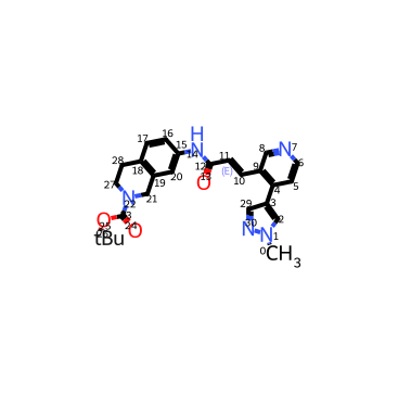 Cn1cc(-c2ccncc2/C=C/C(=O)Nc2ccc3c(c2)CN(C(=O)OC(C)(C)C)CC3)cn1